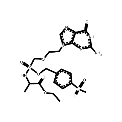 CCOC(=O)C(C)NP(=O)(COCCn1cnc2c(=O)[nH]c(N)nc21)OCc1ccc(S(C)(=O)=O)cc1